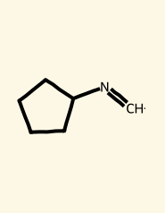 [CH]=NC1CCCC1